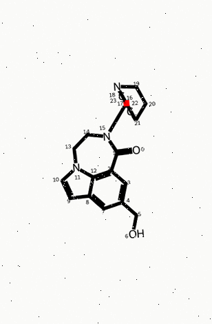 O=C1c2cc(CO)cc3ccn(c23)CCN1C1CN2CCC1CC2